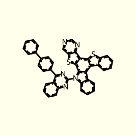 c1ccc(-c2ccc(-c3nc(-n4c5ccccc5c5c6c7ccccc7sc6c6c7ncncc7sc6c54)nc4ccccc34)cc2)cc1